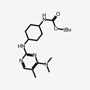 Cc1cnc(NC2CCC(NC(=O)OC(C)(C)C)CC2)nc1N(C)C